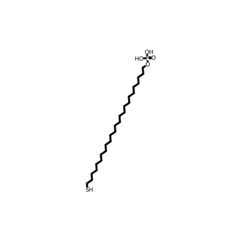 O=P(O)(O)OCCCCCCCCCCCCCCCCCCCCCCCCCS